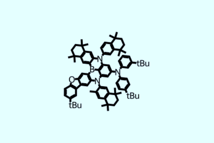 Cc1cc2c(cc1N1c3cc4c(cc3B3c5cc6c(cc5N(c5ccc7c(c5)C(C)(C)CCC7(C)C)c5cc(N(c7ccc(C(C)(C)C)cc7)c7cccc(C(C)(C)C)c7)cc1c53)C(C)(C)CCC6(C)C)oc1ccc(C(C)(C)C)cc14)C(C)(C)CCC2(C)C